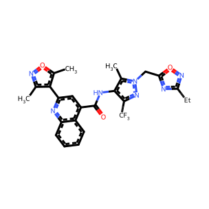 CCc1noc(Cn2nc(C(F)(F)F)c(NC(=O)c3cc(-c4c(C)noc4C)nc4ccccc34)c2C)n1